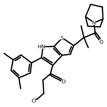 Cc1cc(C)cc(-c2[nH]c3sc(C(C)(C)C(=O)N4C5CCC4CC5)cc3c2C(=O)CCCl)c1